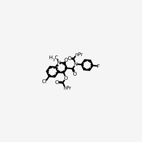 CCCC(=O)Oc1c(C(=O)N(C(=O)CCC)c2ccc(F)cc2)c(=O)n(C)c2ccc(Cl)cc12